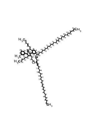 CCCC=CCCc1ccccc1C1=C(CCCC)C(CCCCCC)=C(c2cccc(C)c2)[N+]1=[N-].CCCCCCCCCCCCCCCCCCCCCCCCCCC[CH2][Ni][CH2]CCCCCCCCCCCCCCCCCCCCCCCCCCC